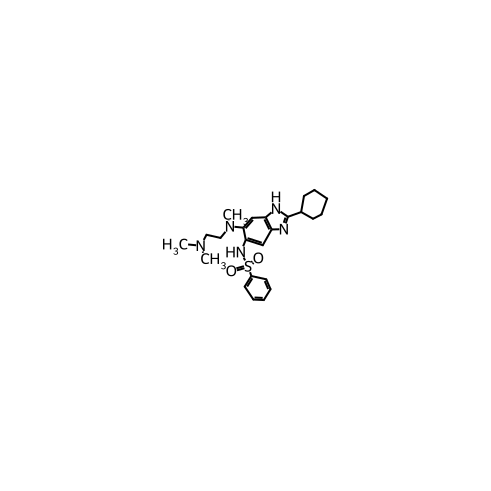 CN(C)CCN(C)c1cc2[nH]c(C3CCCCC3)nc2cc1NS(=O)(=O)c1ccccc1